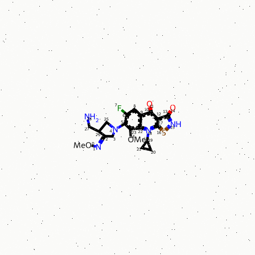 CO/N=C1/CN(c2c(F)cc3c(=O)c4c(=O)[nH]sc4n(C4CC4)c3c2OC)CC1CN